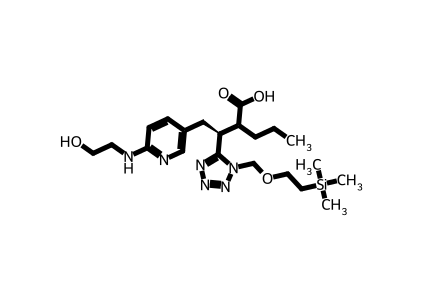 CCCC(C(=O)O)[C@H](Cc1ccc(NCCO)nc1)c1nnnn1COCC[Si](C)(C)C